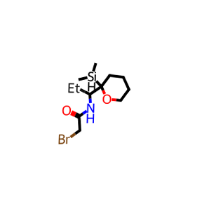 [CH2]CC(NC(=O)CBr)C1([SiH](C)C)CCCCO1